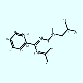 CC(C)=N/C(=N\CNCC(C)C)c1ccccn1